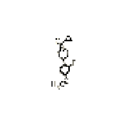 COc1ccc(C2CCN(C(=O)C3CC3)CC2)c(F)c1